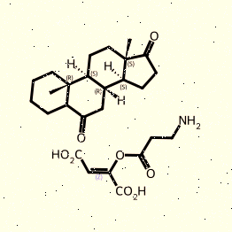 C[C@]12CCCCC1C(=O)C[C@@H]1[C@@H]2CC[C@]2(C)C(=O)CC[C@@H]12.NCCC(=O)O/C(=C\C(=O)O)C(=O)O